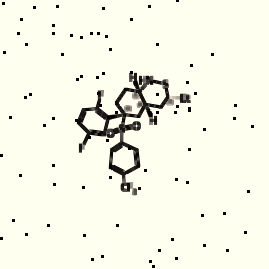 CC[C@@H]1C[C@@H]2C[C@](c3cc(F)ccc3F)(S(=O)(=O)c3ccc(C(F)(F)F)cc3)CC[C@@H]2NS1